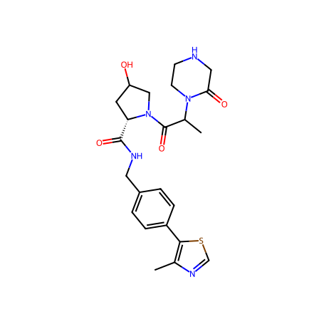 Cc1ncsc1-c1ccc(CNC(=O)[C@@H]2CC(O)CN2C(=O)C(C)N2CCNCC2=O)cc1